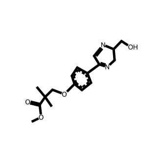 COC(=O)C(C)(C)COc1ccc(C2=NCC(CO)N=C2)cc1